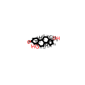 C#C[C@]12CCC(=O)C[C@]1(O)CC[C@H]1[C@@H]3CC[C@H](O)[C@@]3(C)CC[C@@H]12